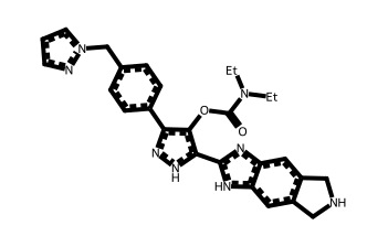 CCN(CC)C(=O)Oc1c(-c2ccc(Cn3cccn3)cc2)n[nH]c1-c1nc2cc3c(cc2[nH]1)CNC3